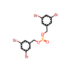 O=[PH](OCc1cc(Br)cc(Br)c1)OCc1cc(Br)cc(Br)c1